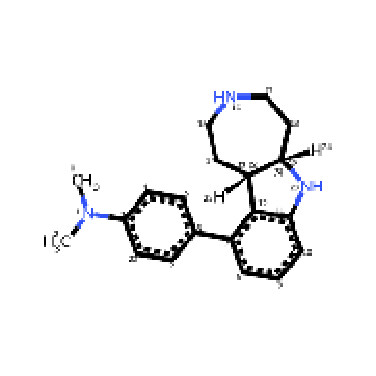 CN(C)c1ccc(-c2cccc3c2[C@@H]2CCNCC[C@@H]2N3)cc1